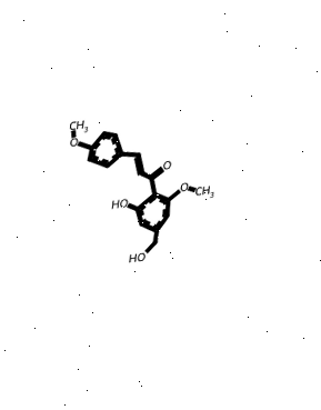 COc1ccc(/C=C/C(=O)c2c(O)cc(CO)cc2OC)cc1